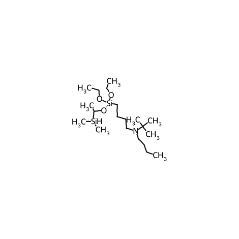 CCCCN(CCCC[Si](OCC)(OCC)OC(C)[SiH](C)C)C(C)(C)C